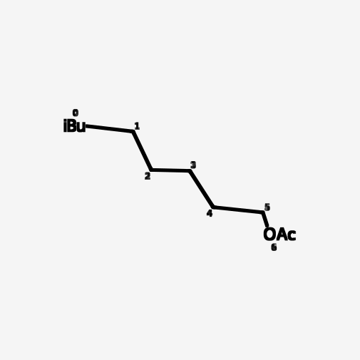 CCC(C)CCCCCOC(C)=O